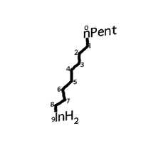 CCCCCCCCCCCC[CH2][InH2]